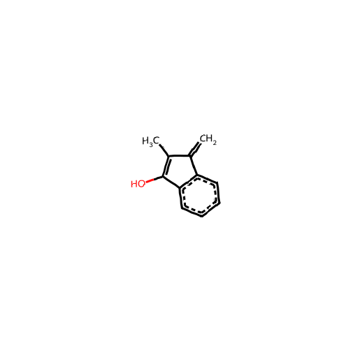 C=C1C(C)=C(O)c2ccccc21